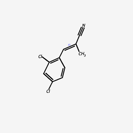 C/C(C#N)=C\c1ccc(Cl)cc1Cl